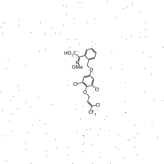 CO/N=C(/C(=O)O)c1ccccc1COc1cc(Cl)c(OC/C=C(\Cl)C(F)(F)F)c(Cl)c1